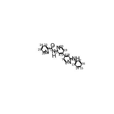 O=C(Nc1cc(-c2ccnc(Nc3ccccc3)c2)ccn1)c1ccccn1